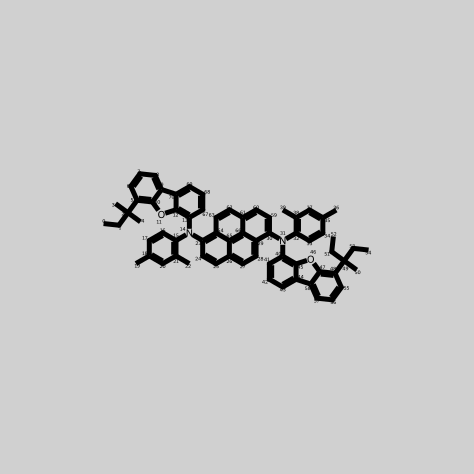 CCC(C)(C)c1cccc2c1oc1c(N(c3ccc(C)cc3C)c3ccc4ccc5c(N(c6ccc(C)cc6C)c6cccc7c6oc6c(C(C)(CC)CC)cccc67)ccc6ccc3c4c65)cccc12